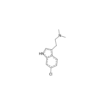 CN(C)CCc1c[nH]c2cc(Cl)ccc12